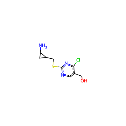 NC1CC1CSc1ncc(CO)c(Cl)n1